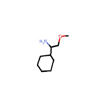 COCC(N)C1CCCCC1